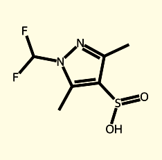 Cc1nn(C(F)F)c(C)c1S(=O)O